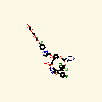 COCCOCCOCCOC[C@]1(F)CC[C@@H](c2nccc(COc3ccc4cc3C[C@H](C(=O)O)Oc3ncnc5sc(-c6ccc(F)cc6)c(c35)-c3c(C)c(Cl)c(c(Cl)c3C)O[C@H](CN3CCN(C)CC3)CO4)n2)CC1